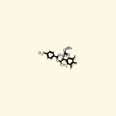 C[C@@H](OC(=O)c1ccc([N+](=O)[O-])cc1)[C@@H](NC(=O)OC(C)(C)C)c1cc(F)c(F)c(F)c1